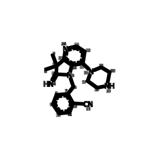 CC1(C)C(=N)N(Cc2ccccc2C#N)c2c(N3CCNCC3)ccnc21